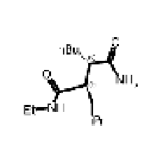 CCCC[C@H](C(N)=O)[C@@H](CC(C)C)C(=O)NCC